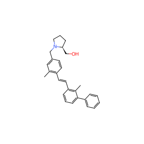 Cc1cc(CN2CCC[C@H]2CO)ccc1/C=C/c1cccc(-c2ccccc2)c1C